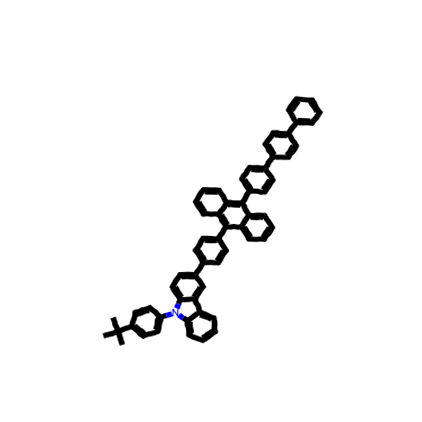 CC(C)(C)c1ccc(-n2c3ccccc3c3cc(-c4ccc(-c5c6ccccc6c(-c6ccc(-c7ccc(-c8ccccc8)cc7)cc6)c6ccccc56)cc4)ccc32)cc1